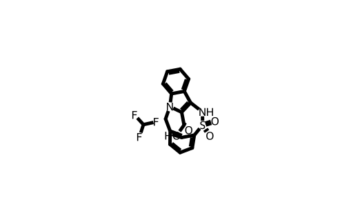 FC(F)F.O=C(O)c1c2c3ccccc3n1Cc1cccc(c1)S(=O)(=O)N2